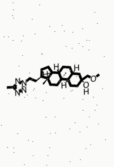 COC[C@@]1(O)CC[C@H]2[C@@H](CC[C@H]3[C@@H]4CC[C@H](CCn5nnc(C)n5)[C@@]4(C)CC[C@]23C)C1